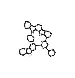 c1ccc(-c2cc(-c3cccc4c3oc3c4ccc4c5ccccc5n(-c5ccccc5)c43)nc(-c3ccc4c(c3)oc3ccccc34)n2)cc1